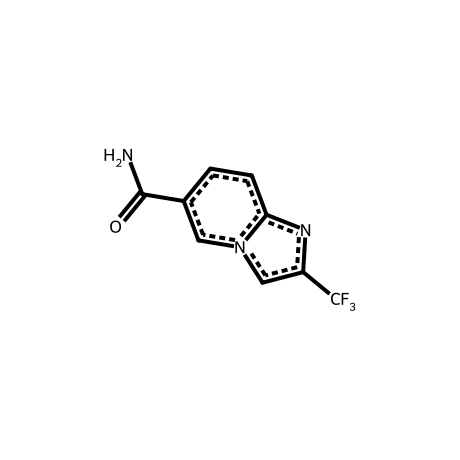 NC(=O)c1ccc2nc(C(F)(F)F)cn2c1